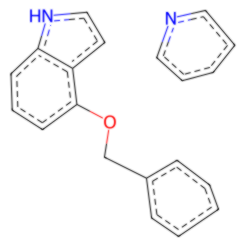 c1ccc(COc2cccc3[nH]ccc23)cc1.c1ccncc1